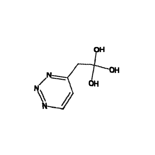 OC(O)(O)Cc1ccnnn1